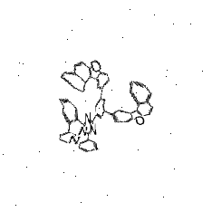 c1ccc(-c2nc(-c3cc(-c4ccc5oc6ccc7ccccc7c6c5c4)cc(-c4ccc5oc6ccc7ccccc7c6c5c4)c3)nc(-c3ccccc3-c3cccnc3)n2)cc1